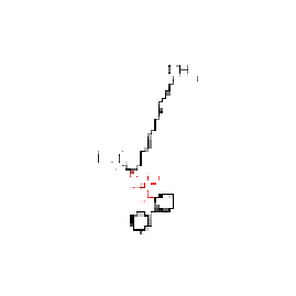 CCCCCCCCCCCCC(CC)OC(=O)Oc1ccccc1-c1ccccc1